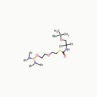 CCC(CC)(CO[Si](C)(C)C(C)(C)C)NC(=O)SCCOCCOP(N(C(C)C)C(C)C)N(C(C)C)C(C)C